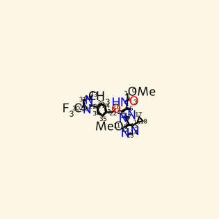 COCC(=O)Nc1cnc(-c2c(OC)ncnc2C2CC2)nc1OCc1ccc(-c2nc(C(F)(F)F)cn2C)cc1